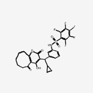 O=C1CCCCCc2oc(=O)c(C(c3cccc(NS(=O)(=O)c4c(F)c(F)c(F)c(F)c4F)c3)C3CC3)c(O)c21